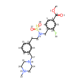 COC(=O)c1ccc(CN(CCc2cccc(CN3CCN(C)CC3)c2)[SH](=O)=O)c(F)c1